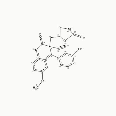 COc1ccc2c(c1)=C(c1cccc(F)c1)C(C#N)(CC1CNC(=O)O1)C(=O)N=2